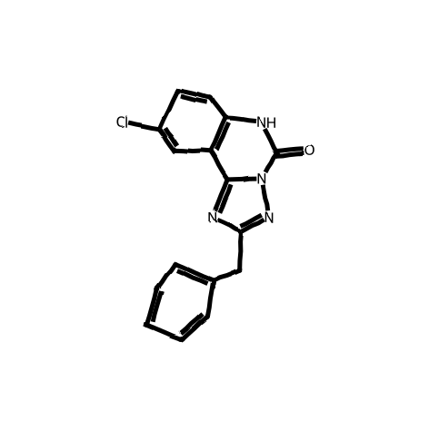 O=c1[nH]c2ccc(Cl)cc2c2nc(Cc3ccccc3)nn12